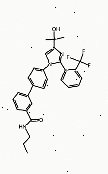 CCCNC(=O)c1cccc(-c2ccc(-n3cc(C(C)(C)O)nc3-c3ccccc3C(F)(F)F)cc2)c1